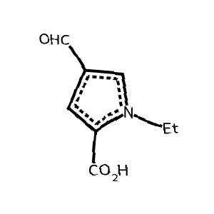 CCn1cc(C=O)cc1C(=O)O